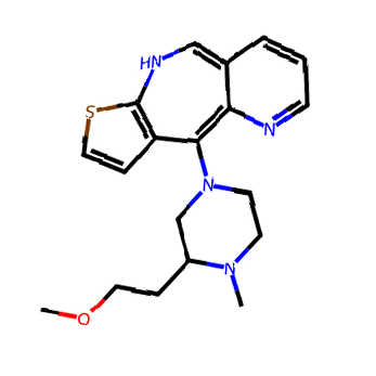 COCCC1CN(C2=c3ncccc3=CNc3sccc32)CCN1C